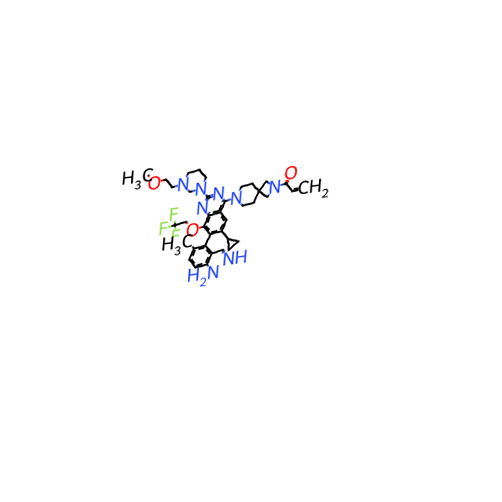 C=CC(=O)N1CC2(CCN(c3nc(N4CCCN(CCOC)C4)nc4c(OCC(F)(F)F)c(-c5c(C)ccc(N)c5C=N)c(C5CC5)cc34)CC2)C1